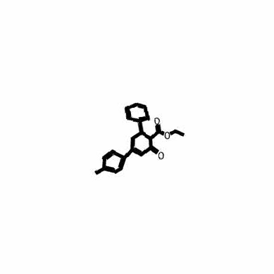 CCOC(=O)C1C(=O)C=C(c2ccc(C)cc2)CC1c1ccccc1